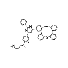 C=N/C=C\C=C(/C)c1ccc(-c2cc(-c3ccc4c(c3)-c3ccccc3Sc3ccccc3-c3ccccc3/C=C\4)nc(-c3ccccc3)n2)cn1